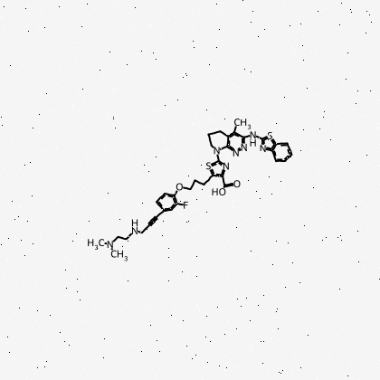 Cc1c(Nc2nc3ccccc3s2)nnc2c1CCCN2c1nc(C(=O)O)c(CCCOc2ccc(C#CCNCCN(C)C)cc2F)s1